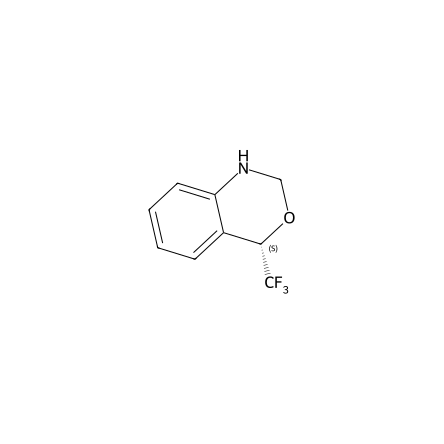 FC(F)(F)[C@H]1OCNc2ccccc21